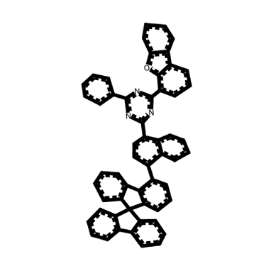 c1ccc(-c2nc(-c3ccc(-c4cccc5c4-c4ccccc4C54c5ccccc5-c5ccccc54)c4ccccc34)nc(-c3cccc4c3oc3ccccc34)n2)cc1